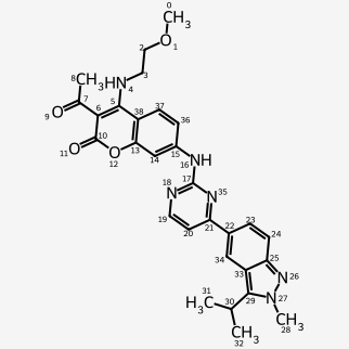 COCCNc1c(C(C)=O)c(=O)oc2cc(Nc3nccc(-c4ccc5nn(C)c(C(C)C)c5c4)n3)ccc12